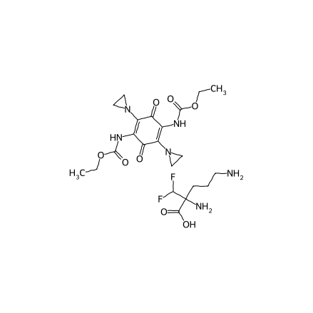 CCOC(=O)NC1=C(N2CC2)C(=O)C(NC(=O)OCC)=C(N2CC2)C1=O.NCCCC(N)(C(=O)O)C(F)F